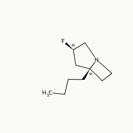 CCCC[C@]12CCN1C[C@H](F)C2